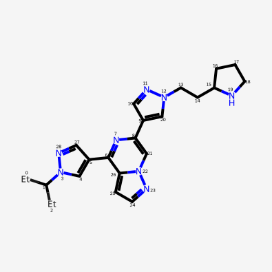 CCC(CC)n1cc(-c2nc(-c3cnn(CCC4CCCN4)c3)cn3nccc23)cn1